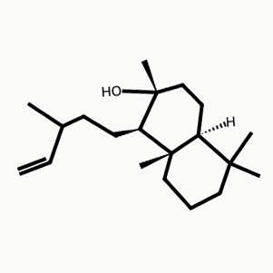 C=CC(C)CC[C@@H]1[C@@]2(C)CCCC(C)(C)[C@@H]2CC[C@@]1(C)O